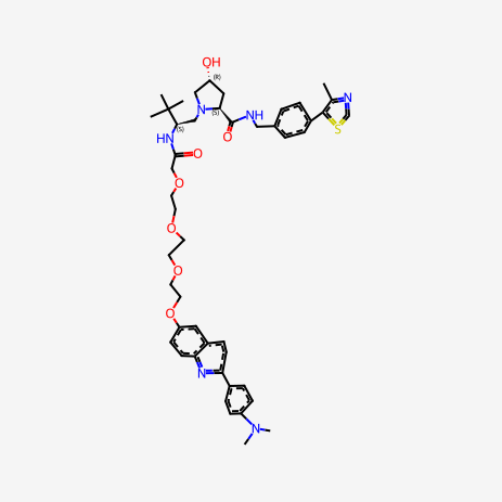 Cc1ncsc1-c1ccc(CNC(=O)[C@@H]2C[C@@H](O)CN2C[C@@H](NC(=O)COCCOCCOCCOc2ccc3nc(-c4ccc(N(C)C)cc4)ccc3c2)C(C)(C)C)cc1